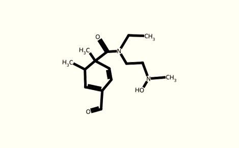 CCN(CCN(C)O)C(=O)C1(C)C=CC(C=O)=CC1C